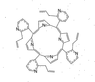 C=CCc1ncccc1C1=C2C=CC(=N2)C(c2cccnc2CC=C)=C2C=CC(=N2)C(c2cccnc2CC=C)=C2C=CC(=N2)C(c2cccnc2CC=C)=C2C=CC1=N2